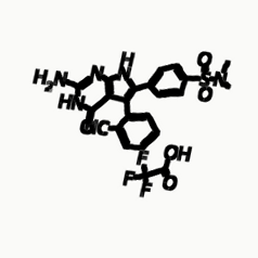 CN(C)S(=O)(=O)c1ccc(-c2[nH]c3nc(N)[nH]c(=O)c3c2-c2ccccc2C#N)cc1.O=C(O)C(F)(F)F